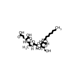 CCCCCCCC1=N[C@@H]2[C@@H](O[C@H](C)C(=O)N[C@@H](C)C(=O)N[C@H](CCC(=O)O)C(=O)O)[C@H](O)[C@@H](CO)O[C@@H]2S1